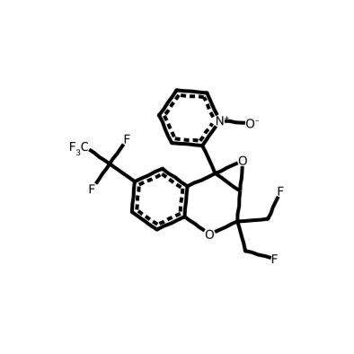 [O-][n+]1ccccc1C12OC1C(CF)(CF)Oc1ccc(C(F)(F)C(F)(F)F)cc12